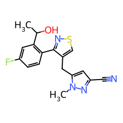 CC(O)c1cc(F)ccc1-c1nscc1Cc1cc(C#N)nn1C